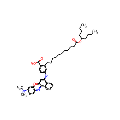 CCCCC(CCCC)OC(=O)CCCCCCCCCCc1cc(N=c2cc3oc4cc(N(C)C)ccc4nc-3c3ccccc23)ccc1C(=O)O